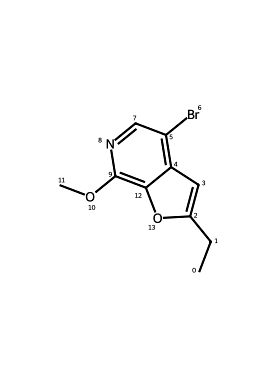 CCc1cc2c(Br)cnc(OC)c2o1